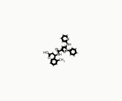 Cc1ccccc1C(CC(=O)O)NC(=O)c1cc(Nc2ccccn2)n(-c2ccccc2)n1